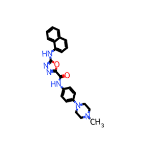 CN1CCN(c2ccc(NC(=O)c3nnc(Nc4cccc5ccccc45)o3)cc2)CC1